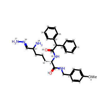 COc1ccc(CNC(=O)[C@H](CCCC(N)C=NN)NC(=O)C(c2ccccc2)c2ccccc2)cc1